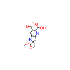 CCC1(C(=O)OC)Cc2nc(C(=O)O)c(C(=O)OC)cc2N1C